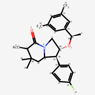 CC(=O)OC1C(=O)N2C[C@H](O[C@H](C)c3cc(C(F)(F)F)cc(C(F)(F)F)c3)[C@@H](c3ccc(F)cc3)C2CC1(C)C